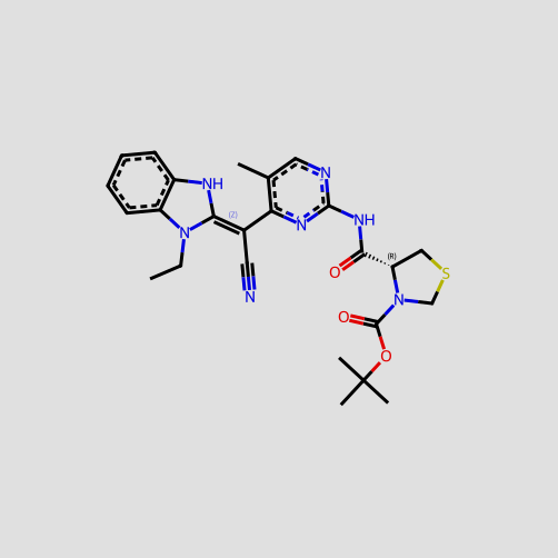 CCN1/C(=C(\C#N)c2nc(NC(=O)[C@@H]3CSCN3C(=O)OC(C)(C)C)ncc2C)Nc2ccccc21